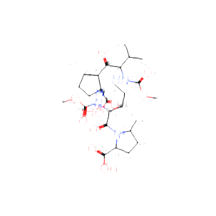 COC(=O)NC(C(=O)C1[C@@H](C)CC[C@]1(CC[C@H](C)[C@H](NC(=O)OC)C(=O)N1C(C)CCC1C(=O)O)C(=O)O)C(C)C